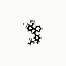 C=CC(=O)Nc1cc(-c2nc3ccc(N)c(C=N)c3c3c2CCCC3)ccc1F